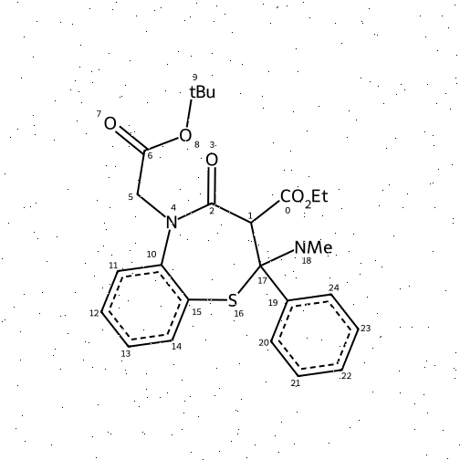 CCOC(=O)C1C(=O)N(CC(=O)OC(C)(C)C)c2ccccc2SC1(NC)c1ccccc1